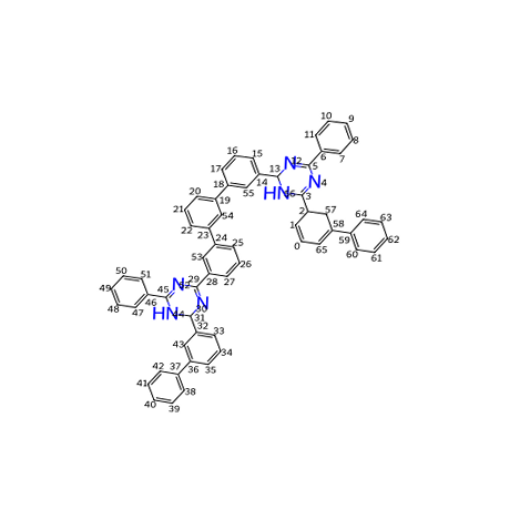 C1=CC(C2=NC(c3ccccc3)=NC(c3cccc(-c4cccc(-c5cccc(C6=NC(c7cccc(-c8ccccc8)c7)NC(c7ccccc7)=N6)c5)c4)c3)N2)CC(c2ccccc2)=C1